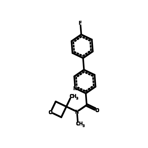 CN(C(=O)c1ccc(-c2ccc(F)cc2)cn1)C1(C)COC1